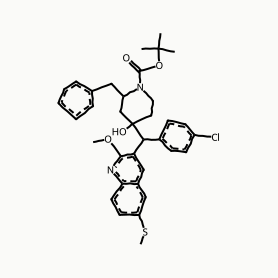 COc1nc2ccc(SC)cc2cc1C(c1ccc(Cl)cc1)C1(O)CCN(C(=O)OC(C)(C)C)C(Cc2ccccc2)C1